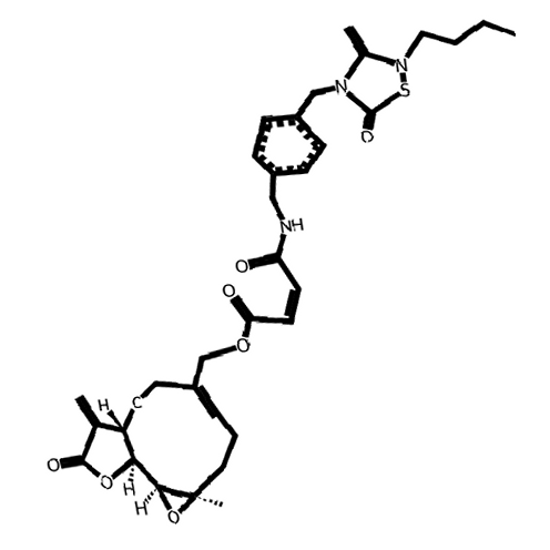 C=C1C(=O)O[C@H]2[C@H]1CC/C(COC(=O)/C=C\C(=O)NCc1ccc(CN3C(=C)N(CCCC)SC3=O)cc1)=C\CC[C@@]1(C)O[C@@H]21